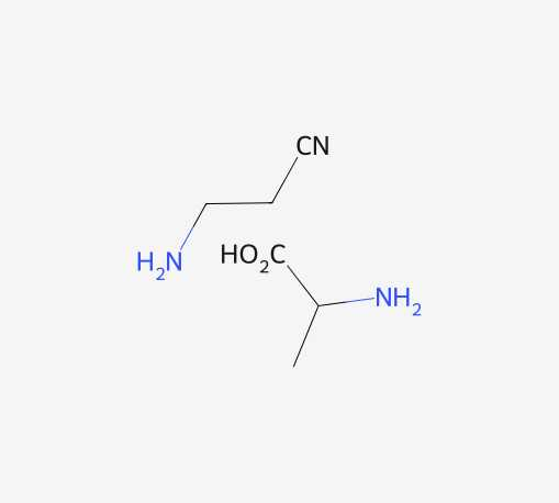 CC(N)C(=O)O.N#CCCN